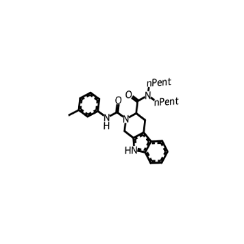 CCCCCN(CCCCC)C(=O)C1Cc2c([nH]c3ccccc23)CN1C(=O)Nc1cccc(C)c1